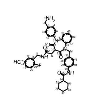 Cl.NCc1ccc(N2C(=O)C(CC(=O)NCc3ccccc3F)C(=O)N(Cc3ccc(NC(=O)C4CCCCC4)cc3)c3ccccc32)cc1